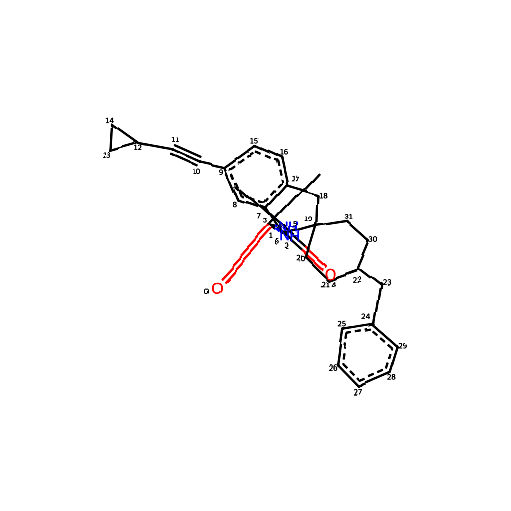 O=C1NC(=O)C2(N1)c1cc(C#CC3CC3)ccc1CC21CCC(Cc2ccccc2)CC1